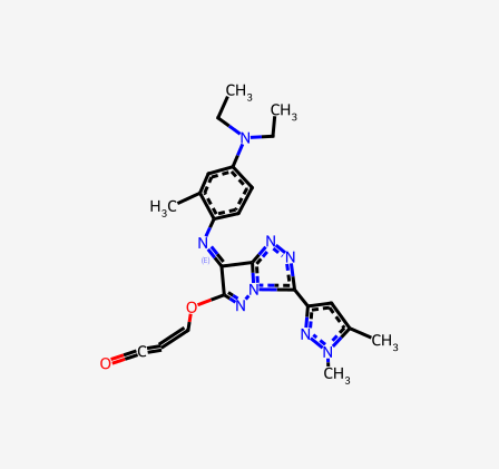 CCN(CC)c1ccc(/N=C2/C(OC=C=C=O)=Nn3c2nnc3-c2cc(C)n(C)n2)c(C)c1